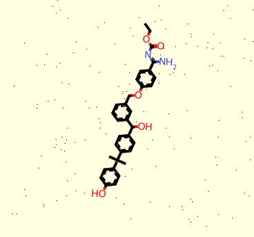 CCOC(=O)N=C(N)c1ccc(OCc2cccc(C(O)c3ccc(C(C)(C)c4ccc(O)cc4)cc3)c2)cc1